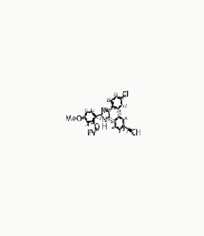 C#Cc1ccc([C@@H]2NC(c3ccc(OC)cc3OC(C)C)=N[C@@H]2c2ccc(Cl)cc2)cc1